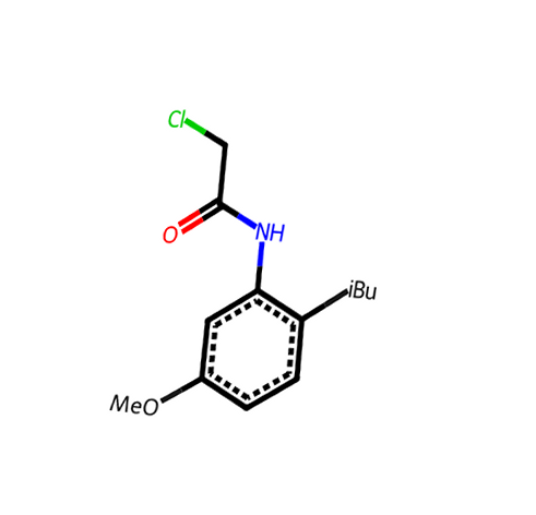 CCC(C)c1ccc(OC)cc1NC(=O)CCl